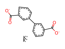 O=C([O-])c1cccc(-c2cccc(C(=O)[O-])c2)c1.[K+].[K+]